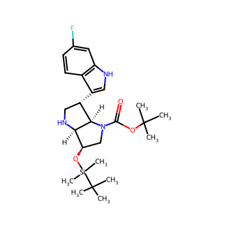 CC(C)(C)OC(=O)N1C[C@@H](O[Si](C)(C)C(C)(C)C)[C@H]2NC[C@H](c3c[nH]c4cc(F)ccc34)[C@H]21